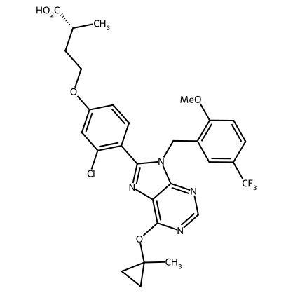 COc1ccc(C(F)(F)F)cc1Cn1c(-c2ccc(OCC[C@@H](C)C(=O)O)cc2Cl)nc2c(OC3(C)CC3)ncnc21